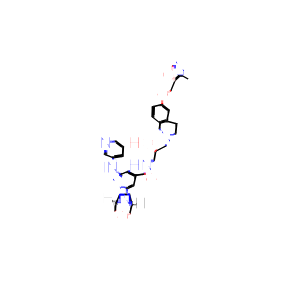 Cc1ncoc1COc1ccc2c(c1)CCN(CC(O)CNC(=O)c1cc(Nc3cccnc3)nc(N3[C@@H]4CC[C@H]3COC4)c1)C2